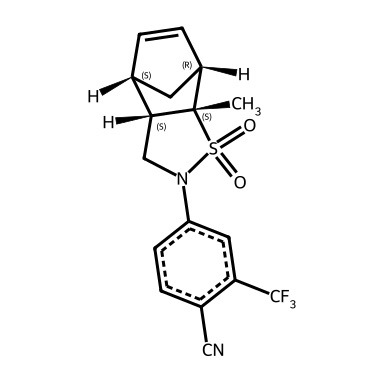 C[C@]12[C@H](CN(c3ccc(C#N)c(C(F)(F)F)c3)S1(=O)=O)[C@@H]1C=C[C@H]2C1